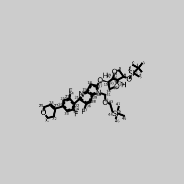 CC(C)(C)[Si](C)(C)OC1CO[C@H]2[C@@H]1OC[C@H]2Oc1cc2nc(-c3c(F)cc(C4=CCOCC4)cc3F)c(F)cc2n1COCC[Si](C)(C)C